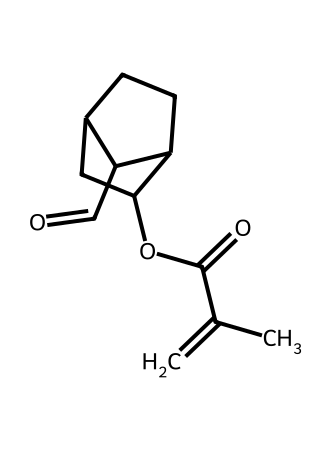 C=C(C)C(=O)OC1CC2CCC1C2C=O